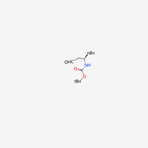 CCCC[C@H](CC=O)NC(=O)OC(C)(C)C